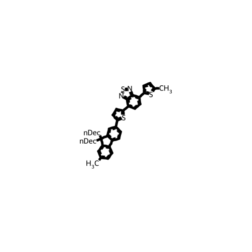 CCCCCCCCCCC1(CCCCCCCCCC)c2cc(C)ccc2-c2ccc(-c3ccc(-c4ccc(-c5ccc(C)s5)c5nsnc45)s3)cc21